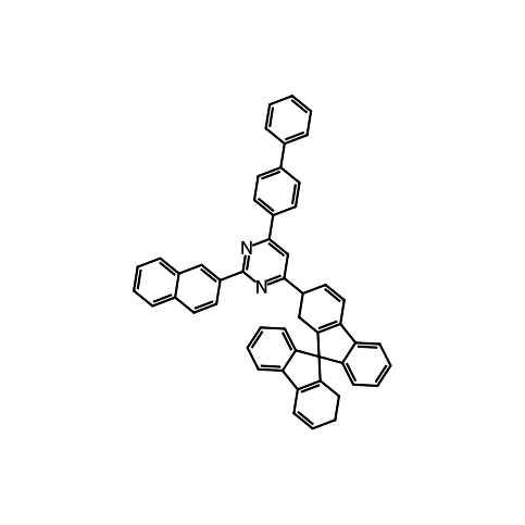 C1=CC2=C(CC1)C1(C3=C(C=CC(c4cc(-c5ccc(-c6ccccc6)cc5)nc(-c5ccc6ccccc6c5)n4)C3)c3ccccc31)c1ccccc12